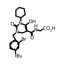 CC(C)(C)c1ccc(CN2CC(C(=O)NCC(=O)O)=C(O)N(C3CCCCC3)C2=O)c(Br)c1